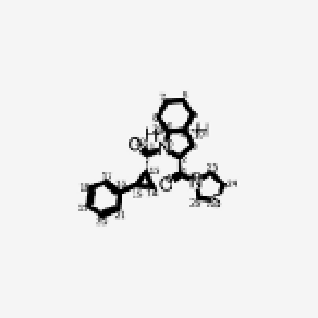 O=C([C@@H]1C[C@@H]2CCCC[C@@H]2N1C(=O)[C@@H]1CC1c1ccccc1)N1CCSC1